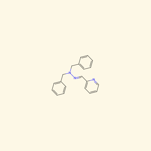 C(=NN(Cc1ccccc1)Cc1ccccc1)c1ccccn1